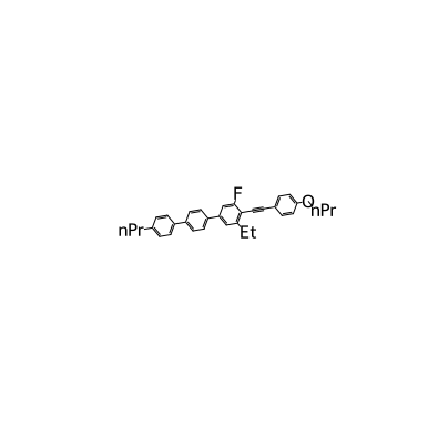 CCCOc1ccc(C#Cc2c(F)cc(-c3ccc(-c4ccc(CCC)cc4)cc3)cc2CC)cc1